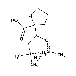 C[SiH](C)OC(CC(C)(C)C)C1(C(=O)O)CCCO1